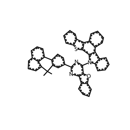 CC1(C)c2cc(-c3nc(-n4c5ccccc5c5c6ccccc6c6c7ccccc7sc6c54)c4oc5ccccc5c4n3)ccc2-c2cccc3cccc1c23